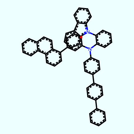 c1ccc(-c2ccc(-c3ccc(N(c4cccc(-c5cccc6c5ccc5ccccc56)c4)c4ccccc4-n4c5ccccc5c5ccccc54)cc3)cc2)cc1